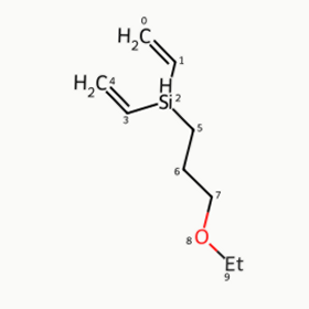 C=C[SiH](C=C)CCCOCC